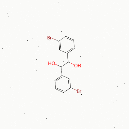 OC(c1cccc(Br)c1)C(O)c1cccc(Br)c1